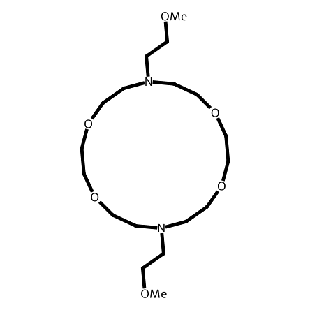 COCCN1CCOCCOCCN(CCOC)CCOCCOCC1